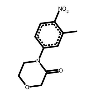 Cc1cc(N2CCOCC2=O)ccc1[N+](=O)[O-]